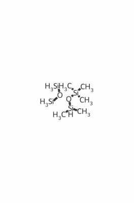 C[SiH](C)O[Si](C)(C)C.[SiH3]O[SiH3]